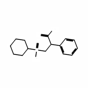 O=C(O)C(CP(=O)(O)C1CCCCC1)c1ccccc1